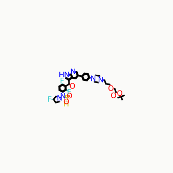 CC(C)(C)OC(=O)COCCCN1CCN(c2ccc(-c3cnc4[nH]cc(C(=O)c5c(F)ccc(N(N6CC[C@@H](F)C6)[SH](=O)=O)c5F)c4c3)cc2)CC1